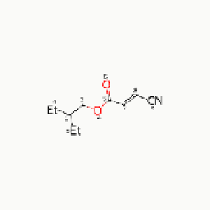 CCC(CC)COC(=O)C=CC#N